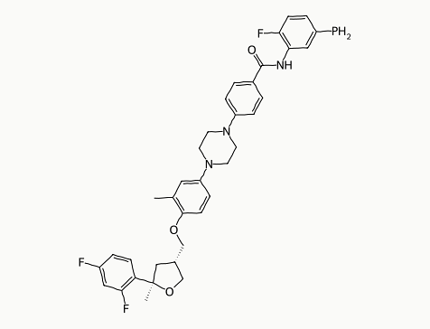 Cc1cc(N2CCN(c3ccc(C(=O)Nc4cc(P)ccc4F)cc3)CC2)ccc1OC[C@@H]1CO[C@@](C)(c2ccc(F)cc2F)C1